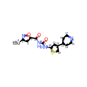 CC(C)(C)c1cc(C(=O)NC(=O)Nc2cc(-c3ccncc3)cs2)on1